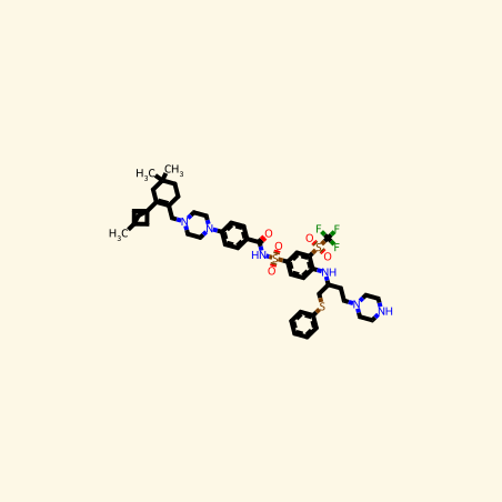 CC1(C)CCC(CN2CCN(c3ccc(C(=O)NS(=O)(=O)c4ccc(NC(CCN5CCNCC5)CSc5ccccc5)c(S(=O)(=O)C(F)(F)F)c4)cc3)CC2)=C(C23CC(C)(C2)C3)C1